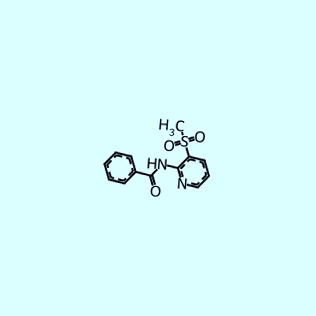 CS(=O)(=O)c1cccnc1NC(=O)c1ccccc1